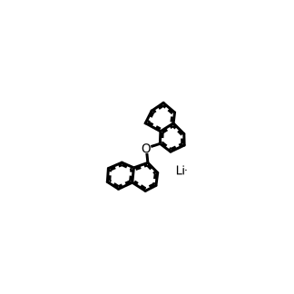 [Li].c1ccc2c(Oc3cccc4ccccc34)cccc2c1